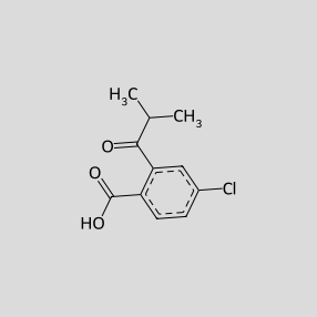 CC(C)C(=O)c1cc(Cl)ccc1C(=O)O